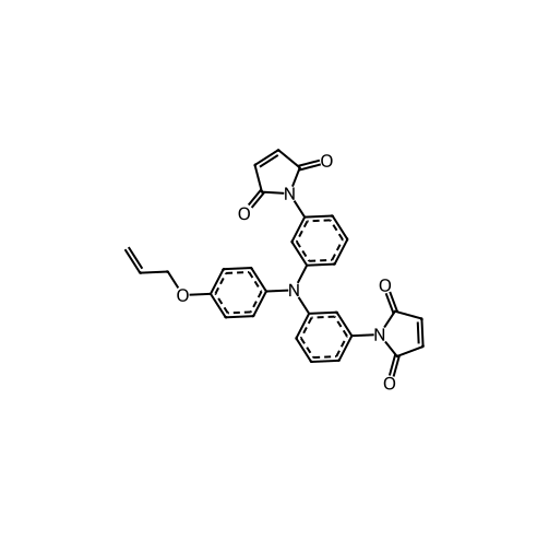 C=CCOc1ccc(N(c2cccc(N3C(=O)C=CC3=O)c2)c2cccc(N3C(=O)C=CC3=O)c2)cc1